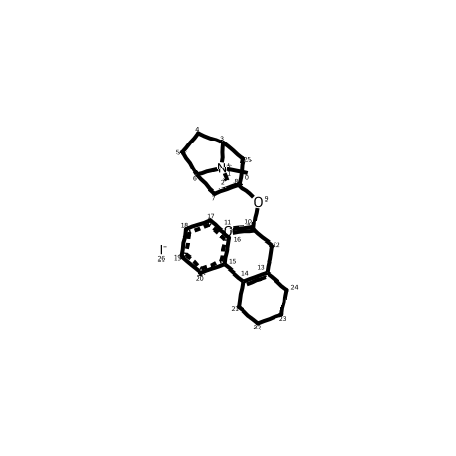 C[N+]1(C)C2CCC1CC(OC(=O)CC1=C(c3ccccc3)CCCC1)C2.[I-]